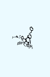 Cc1ccc(-c2c3c(nc(C)c2C(OC(C)(C)C)C(=O)O)CCN(CCc2ccccc2)C3)cc1